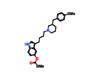 COC(=O)Oc1ccc2[nH]cc(CCCCN3CCCC(Cc4ccc(OC)cc4)C3)c2c1